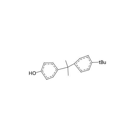 CC(C)(C)c1ccc(C(C)(C)c2ccc(O)cc2)cc1